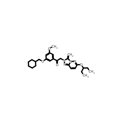 C=C1N(CC(=O)c2cc(OC)cc(OCC3CCCCC3)c2)N=C2C=CC(OC(CC)CC)=NN12